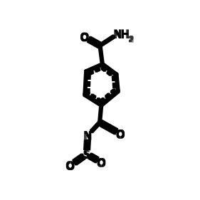 NC(=O)c1ccc(C(=O)N=S(=O)=O)cc1